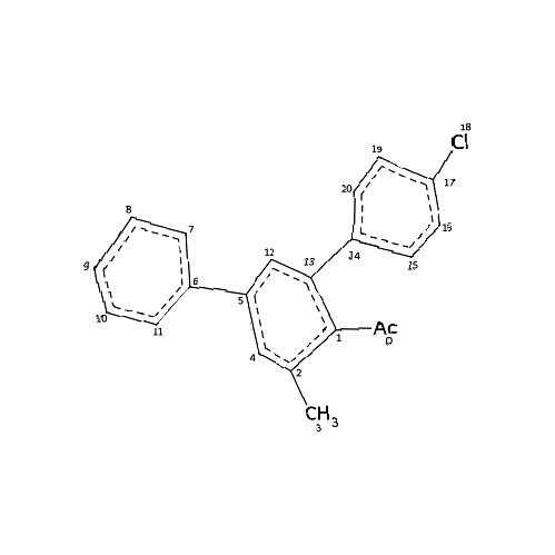 CC(=O)c1c(C)cc(-c2ccccc2)cc1-c1ccc(Cl)cc1